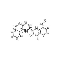 CCC(=Nc1c(CC)cccc1CC)c1ccc2ccc3cccnc3c2n1